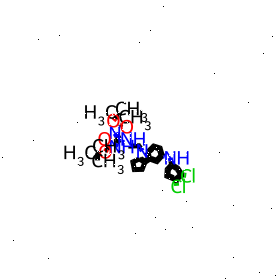 CC(C)(C)OC(=O)/N=C(\NCCn1c2c(c3cc(Nc4ccc(Cl)c(Cl)c4)ccc31)CCC2)NC(=O)OC(C)(C)C